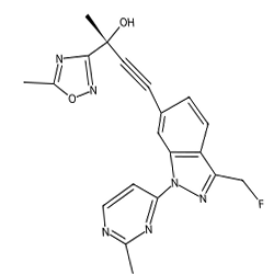 Cc1nccc(-n2nc(CF)c3ccc(C#C[C@@](C)(O)c4noc(C)n4)cc32)n1